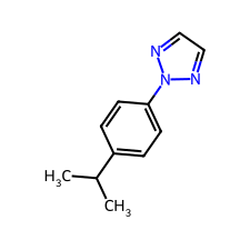 CC(C)c1ccc(-n2nccn2)cc1